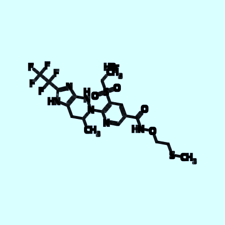 Br.CCS(=O)(=O)c1cc(C(=O)NOCCSC)cnc1N1Nc2nc(C(F)(F)C(F)(F)F)[nH]c2CC1C